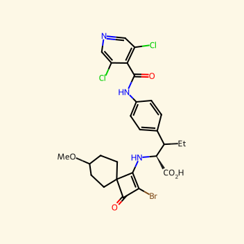 CCC(c1ccc(NC(=O)c2c(Cl)cncc2Cl)cc1)[C@H](NC1=C(Br)C(=O)C12CCC(OC)CC2)C(=O)O